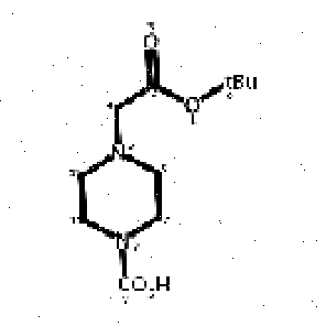 CC(C)(C)OC(=O)CN1CCN(C(=O)O)CC1